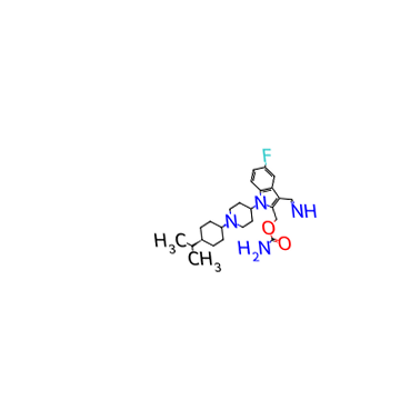 CC(C)[C@H]1CC[C@@H](N2CCC(n3c(COC(N)=O)c(C=N)c4cc(F)ccc43)CC2)CC1